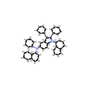 c1ccc(-c2c(-c3ccccc3)n(-c3cccc4ccccc34)c3ccc(N(c4ccccc4)c4cccc5ccccc45)cc23)cc1